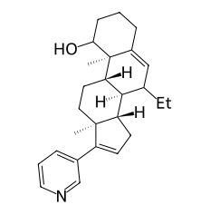 CCC1C=C2CCCC(O)[C@]2(C)[C@H]2CC[C@]3(C)C(c4cccnc4)=CC[C@H]3[C@H]12